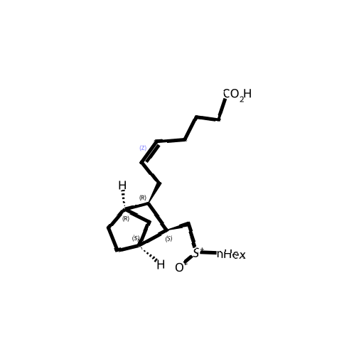 CCCCCC[S+]([O-])C[C@H]1[C@H]2CC[C@H](C2)[C@H]1C/C=C\CCCC(=O)O